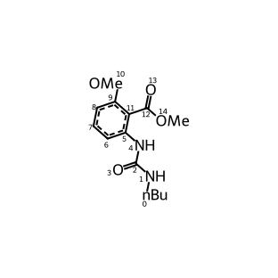 CCCCNC(=O)Nc1cccc(OC)c1C(=O)OC